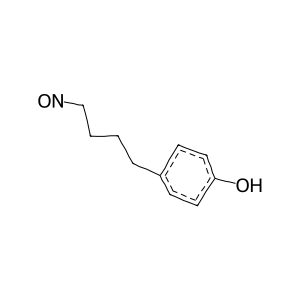 O=NCCCCc1ccc(O)cc1